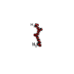 CC12C=CC=CC1=C(c1ccc(N(c3ccccc3)c3ccc(-c4ccc5c(c4)c4ccccc4n5-c4ccc(-c5ccc(-c6ccc7c(c6)C(C)(C)c6ccccc6-7)cc5)cc4)cc3)cc1)C=CC2